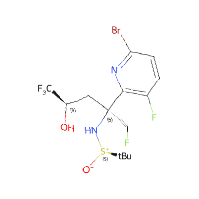 CC(C)(C)[S@@+]([O-])N[C@@](CF)(C[C@@H](O)C(F)(F)F)c1nc(Br)ccc1F